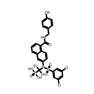 CCC(CC)(N(c1ccc2c(C(=O)NCc3ccc(C#N)cc3)cccc2c1)S(=O)(=O)c1cc(Cl)cc(Cl)c1)P(=O)(O)O